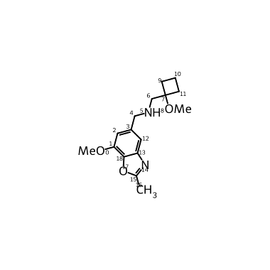 COc1cc(CNCC2(OC)CCC2)cc2nc(C)oc12